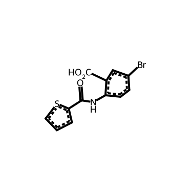 O=C(Nc1ccc(Br)cc1C(=O)O)c1cccs1